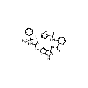 CC(C)(NC(=O)Oc1cc2c(NC(=O)c3ccccc3NC(=O)c3ccco3)n[nH]c2s1)c1ccccc1